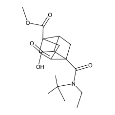 CCN(C(=O)C12CC(C1C(=O)O)C1(C(=O)OC)C=C2C1)C(C)(C)C